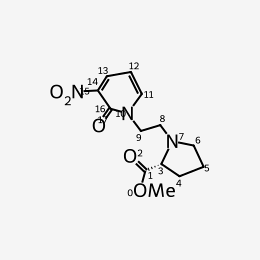 COC(=O)[C@H]1CCCN1CCn1cccc([N+](=O)[O-])c1=O